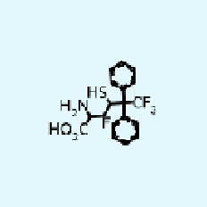 NC(C(=O)O)C(F)[C@@H](S)C(c1ccccc1)(c1ccccc1)C(F)(F)F